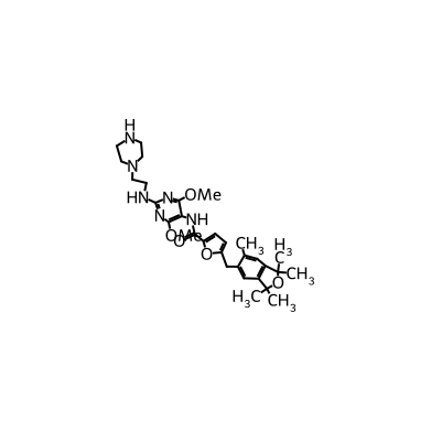 COc1nc(NCCN2CCNCC2)nc(OC)c1NC(=O)c1ccc(Cc2cc3c(cc2C)C(C)(C)OC3(C)C)o1